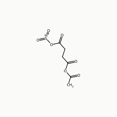 CC(=O)OC(=O)CCC(=O)O[SH](=O)=O